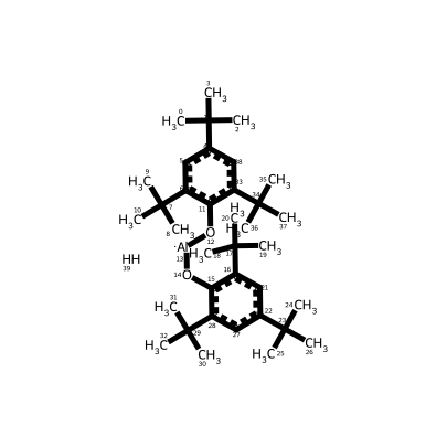 CC(C)(C)c1cc(C(C)(C)C)c([O][Al][O]c2c(C(C)(C)C)cc(C(C)(C)C)cc2C(C)(C)C)c(C(C)(C)C)c1.[HH]